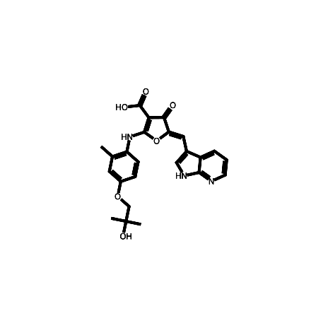 Cc1cc(OCC(C)(C)O)ccc1NC1=C(C(=O)O)C(=O)C(=Cc2c[nH]c3ncccc23)O1